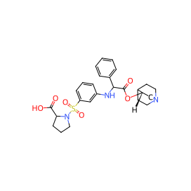 O=C(O[C@H]1CN2CCC1CC2)C(Nc1cccc(S(=O)(=O)N2CCCC2C(=O)O)c1)c1ccccc1